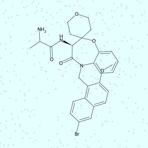 COc1ccc2cc(Br)ccc2c1CN1C(=O)[C@@H](NC(=O)C(C)N)C2(CCOCC2)Oc2ccccc21